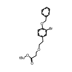 CC(C)(C)OC(=O)CCOCCc1ccc(OCc2ccccc2)c(Br)c1